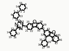 c1ccc(-c2cccc(-c3nc(-c4ccccc4)nc(-c4ccc5c(c4)oc4ccc(-c6cc(-c7ccccc7)c7c(c6)oc6ccccc67)cc45)n3)c2)cc1